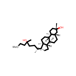 COCCC(C)(O)CC[C@@H](C)[C@H]1CC[C@H]2[C@@H]3CC[C@H]4C[C@@](C)(O)CC[C@]4(C)[C@H]3CC[C@]12C